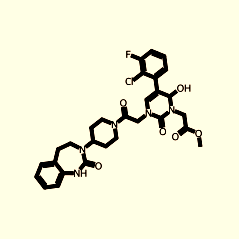 COC(=O)CN1C(=O)N(CC(=O)N2CCC(N3CCc4ccccc4NC3=O)CC2)C=C(c2cccc(F)c2Cl)C1O